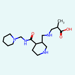 CC(CNCC1CNCCC1C(=O)NCN1CCCCC1)C(=O)O